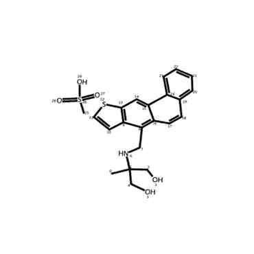 CC(CO)(CO)NCc1c2ccsc2cc2c1ccc1ccccc12.CS(=O)(=O)O